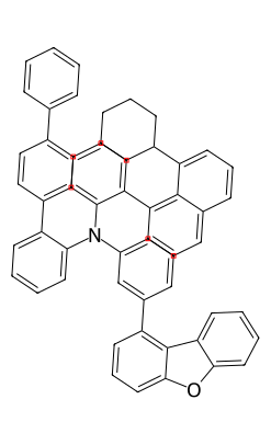 c1ccc(-c2ccc(-c3ccccc3N(c3cccc(-c4cccc5oc6ccccc6c45)c3)c3ccccc3-c3cccc4cccc(C5CCCCC5)c34)cc2)cc1